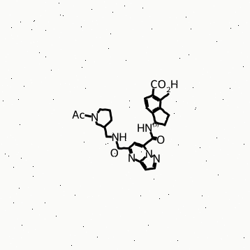 CC(=O)N1CCCC(CNC(=O)c2cc(C(=O)N[C@H]3CCc4c3ccc(C(=O)O)c4C)n3nccc3n2)C1